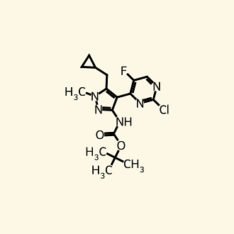 Cn1nc(NC(=O)OC(C)(C)C)c(-c2nc(Cl)ncc2F)c1CC1CC1